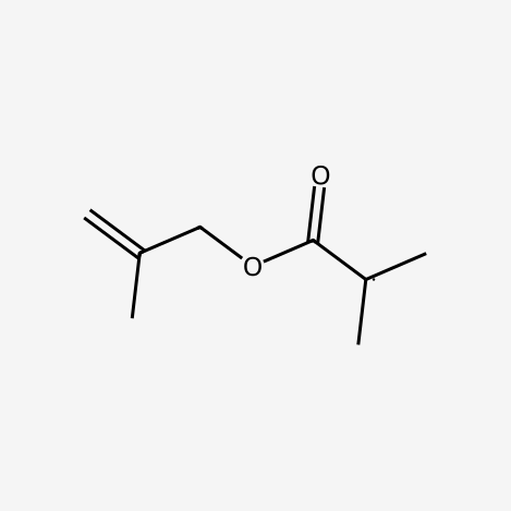 C=C(C)COC(=O)[C](C)C